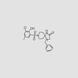 Cc1cc(Cl)c(O)c(S(=O)(=O)N2CCC3(CC2)NC(=O)CN3Cc2ccccc2)c1